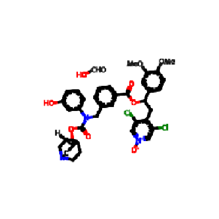 COc1ccc(C(Cc2c(Cl)c[n+]([O-])cc2Cl)OC(=O)c2cccc(CN(C(=O)O[C@H]3CN4CCC3CC4)c3cccc(O)c3)c2)cc1OC.O=CO